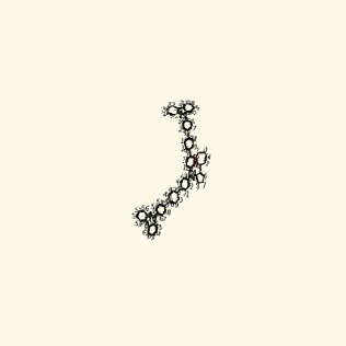 C1=CC=CC(C2=CCC=C2N(c2ccc(-c3ccc(-c4ccc(-n5c6c(c7ccccc75)CCC=C6)cc4)cc3)cc2)c2ccc(C3C=CC(c4ccc(-n5c6ccccc6c6ccccc65)cc4)=CC3)cc2)C=C1